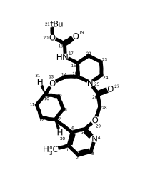 Cc1ccnc2c1[C@H]1CC[C@H](CC1)OCC1C(NC(=O)OC(C)(C)C)CCCN1C(=O)CO2